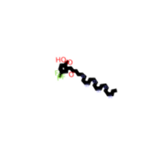 CC/C=C\C/C=C\C/C=C\C/C=C\C/C=C\C/C=C\CCC(=O)Cc1cc(C(F)(F)F)ccc1C(=O)O